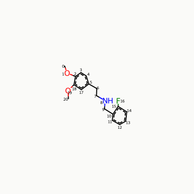 COc1ccc(CCNCc2ccccc2F)cc1OC